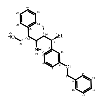 CC[C@@H](c1cccc(OCc2ccccc2)c1)[C@@H](C)C(N)[C@H](CO)c1ccccc1